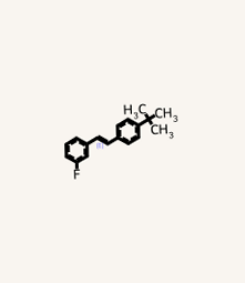 CC(C)(C)c1ccc(/C=C/c2cccc(F)c2)cc1